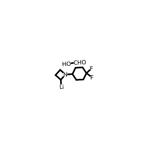 O=CO.[Li][CH]1CCN1C1CCC(F)(F)CC1